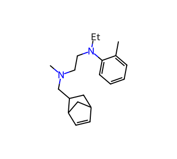 CCN(CCN(C)CC1CC2C=CC1C2)c1ccccc1C